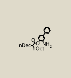 CCCCCCCCCCC(CCCCCCCC)C(=O)Oc1ccc(-c2ccccc2)cc1N